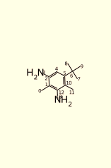 Cc1c(N)cc(C(C)(C)C)c(C)c1N